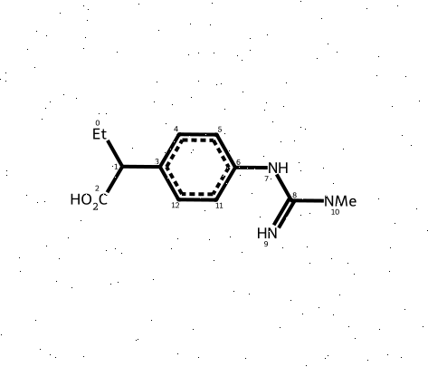 CCC(C(=O)O)c1ccc(NC(=N)NC)cc1